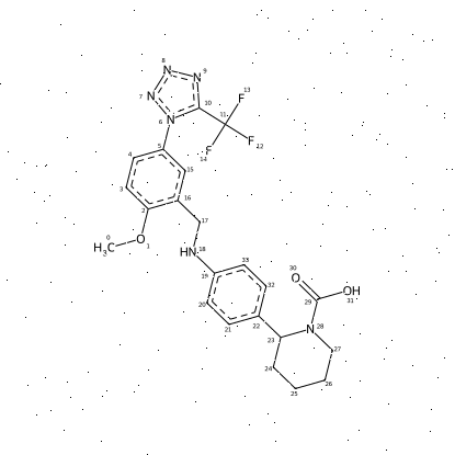 COc1ccc(-n2nnnc2C(F)(F)F)cc1CNc1ccc(C2CCCCN2C(=O)O)cc1